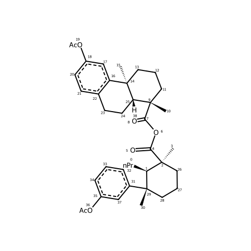 CCC[C@H]1[C@@](C)(C(=O)OC(=O)[C@@]2(C)CCC[C@]3(C)c4cc(OC(C)=O)ccc4CC[C@@H]23)CCC[C@]1(C)c1cccc(OC(C)=O)c1